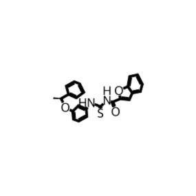 C[C@H](Oc1cccc(NC(=S)NC(=O)c2cc3ccccc3o2)c1)c1ccccc1